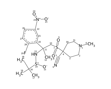 CN1CCC(C#N)(S(=O)(=O)CC(C)(N[S+]([O-])C(C)(C)C)c2cc([N+](=O)[O-])ccc2F)CC1